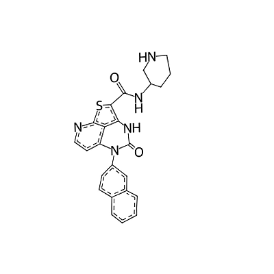 O=C(NC1CCCNC1)c1sc2nccc3c2c1NC(=O)N3c1ccc2ccccc2c1